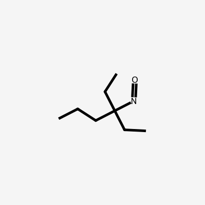 CCCC(CC)(CC)N=O